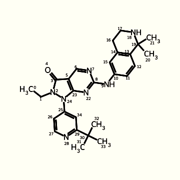 CCn1c(=O)c2cnc(Nc3ccc4c(c3)CCNC4(C)C)nc2n1-c1ccnc(C(C)(C)C)c1